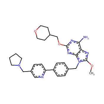 COc1nc2c(N)nc(OCC3CCOCC3)nc2n1Cc1ccc(-c2ccc(CN3CCCC3)cn2)cc1